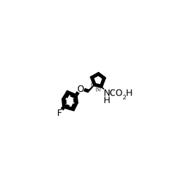 O=C(O)N[C@H]1CCC[C@@H]1COc1ccc(F)cc1